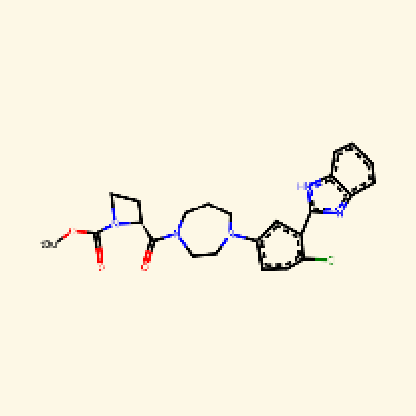 CC(C)(C)OC(=O)N1CC[C@H]1C(=O)N1CCCN(c2ccc(Cl)c(-c3nc4ccccc4[nH]3)c2)CC1